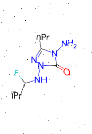 CCCc1nn(NC(F)C(C)C)c(=O)n1N